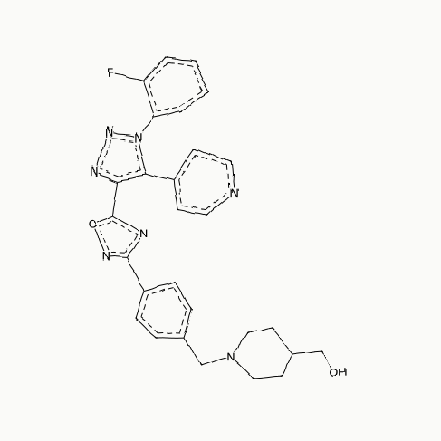 OCC1CCN(Cc2ccc(-c3noc(-c4nnn(-c5ccccc5F)c4-c4ccncc4)n3)cc2)CC1